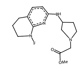 COC(=O)CN1CCC(Bc2ccc3c(n2)N(F)CCC3)C1